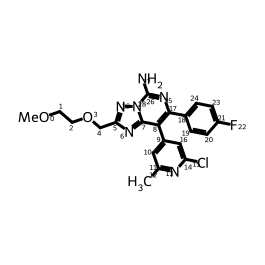 COCCOCc1nc2c(-c3cc(C)nc(Cl)c3)c(-c3ccc(F)cc3)nc(N)n2n1